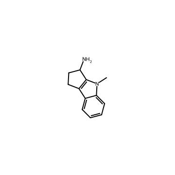 Cn1c2c(c3ccccc31)CCC2N